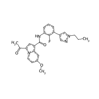 CCCn1cc(-c2cccc(NC(=O)c3cc(C(C)=O)n4ccc(OC)cc34)c2F)cn1